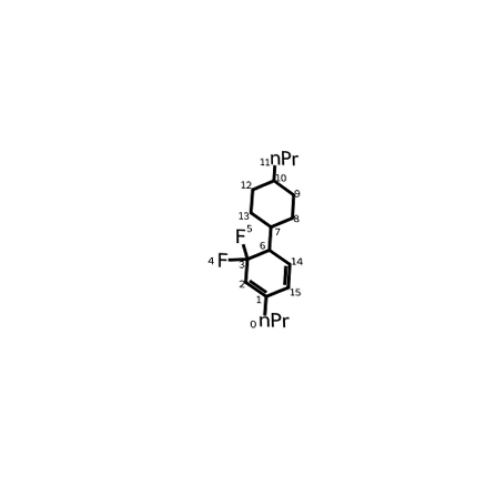 CCCC1=CC(F)(F)C(C2CCC(CCC)CC2)C=C1